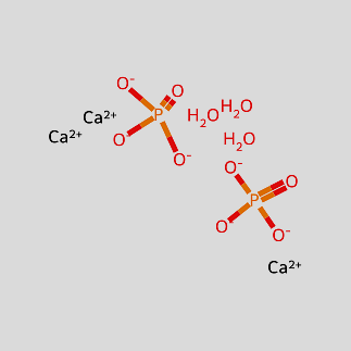 O.O.O.O=P([O-])([O-])[O-].O=P([O-])([O-])[O-].[Ca+2].[Ca+2].[Ca+2]